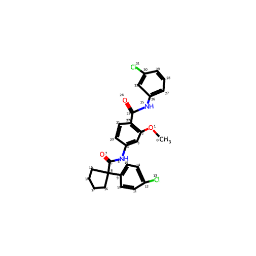 COc1cc(NC(=O)C2(c3ccc(Cl)cc3)CCCC2)ccc1C(=O)Nc1cccc(Cl)c1